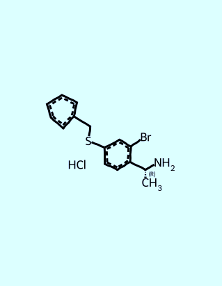 C[C@@H](N)c1ccc(SCc2ccccc2)cc1Br.Cl